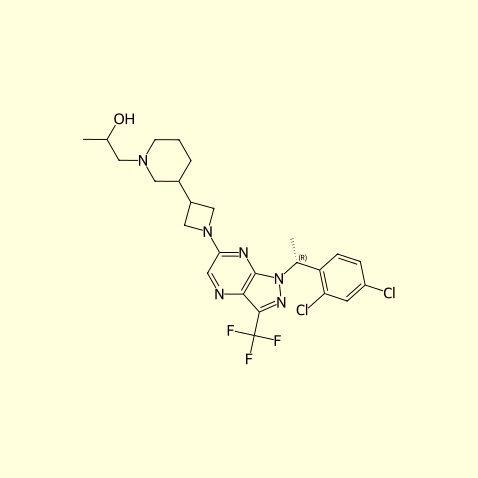 CC(O)CN1CCCC(C2CN(c3cnc4c(C(F)(F)F)nn([C@H](C)c5ccc(Cl)cc5Cl)c4n3)C2)C1